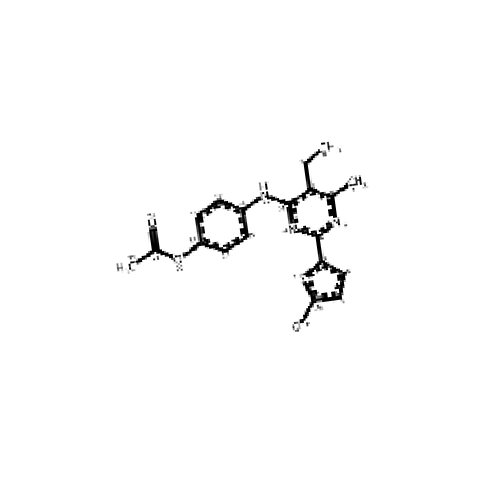 CCc1c(C)nc(-c2ccc(Cl)s2)nc1Nc1ccc(OC(C)=O)cc1